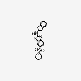 O=S(=O)(c1ccc2nc(NC3Cc4ccccc4C3)nn2c1)N1CCCCC1